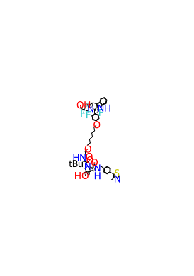 Cc1ncsc1-c1ccc(CNC(=O)[C@@H]2C[C@@H](O)CN2C(=O)C(NC(=O)COCCCCCCCOc2cc(F)c([C@@H]3c4[nH]c5ccccc5c4C[C@@H](C)N3CC(F)(F)CO)c(F)c2)C(C)(C)C)cc1